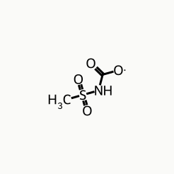 CS(=O)(=O)NC([O])=O